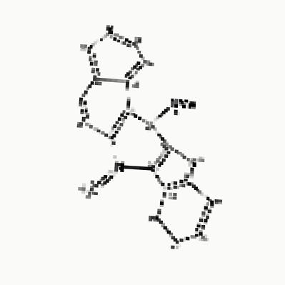 C=Nc1c(C(NC)c2cccc3ccccc23)sc2c1CCC=C2